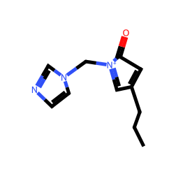 CCCC1=CC(=O)[N+](Cn2ccnc2)=C1